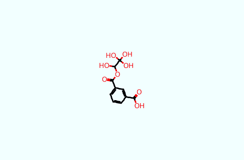 O=C(O)c1cccc(C(=O)OC(O)C(O)(O)O)c1